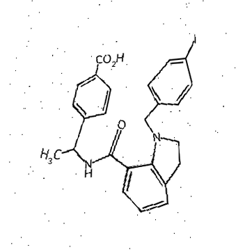 CC(NC(=O)c1cccc2c1N(Cc1ccc(I)cc1)CC2)c1ccc(C(=O)O)cc1